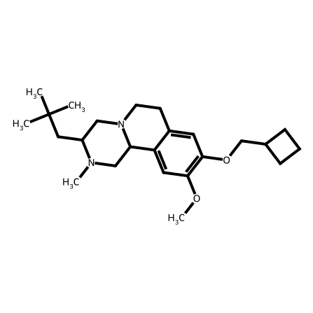 COc1cc2c(cc1OCC1CCC1)CCN1CC(CC(C)(C)C)N(C)CC21